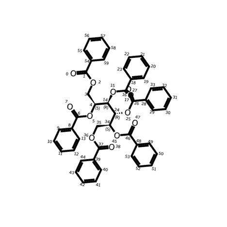 O=C(OC[C@H](OC(=O)c1ccccc1)[C@@H](OC(=O)c1ccccc1)[C@H](OC(=O)c1ccccc1)[C@H](COC(=O)c1ccccc1)OC(=O)c1ccccc1)c1ccccc1